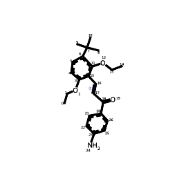 CCOc1ccc(C(C)(C)C)c(OCC)c1/C=C/C(=O)c1ccc(N)cc1